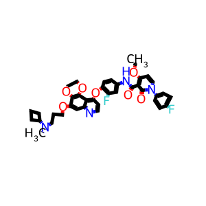 CCOc1ccn(-c2ccc(F)cc2)c(=O)c1C(=O)Nc1ccc(Oc2ccnc3cc(OCCCN(C)C4CCC4)c4c(c23)OCCO4)c(F)c1